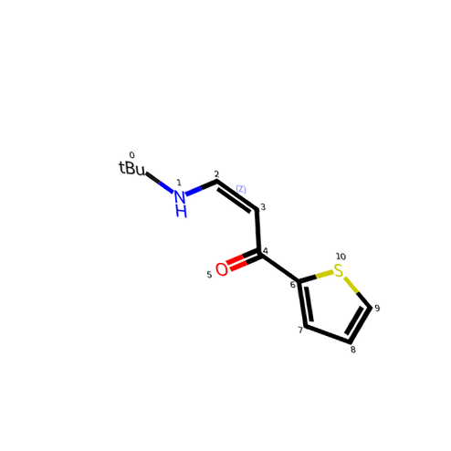 CC(C)(C)N/C=C\C(=O)c1cccs1